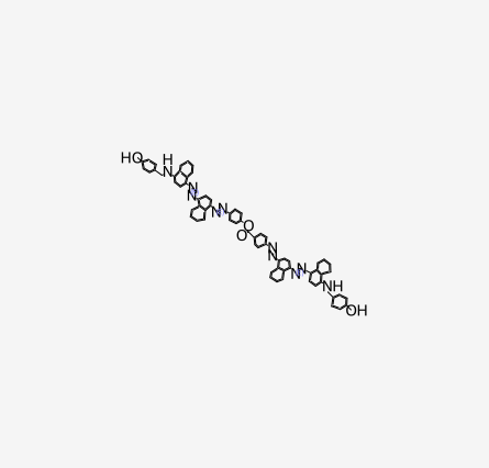 O=C(Oc1ccc(/N=N/c2ccc(/N=N/c3ccc(NCc4ccc(O)cc4)c4ccccc34)c3ccccc23)cc1)c1ccc(N=Nc2ccc(/N=N/c3ccc(NCc4ccc(O)cc4)c4ccccc34)c3ccccc23)cc1